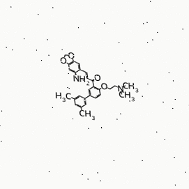 Cc1cc(C)cc(-c2ccc(OCCN(C)C)c(C(=O)C=Cc3cc4c(cc3N)OCO4)c2)c1